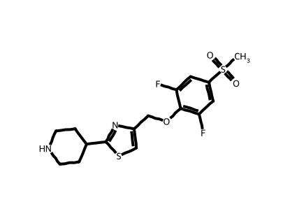 CS(=O)(=O)c1cc(F)c(OCc2csc(C3CCNCC3)n2)c(F)c1